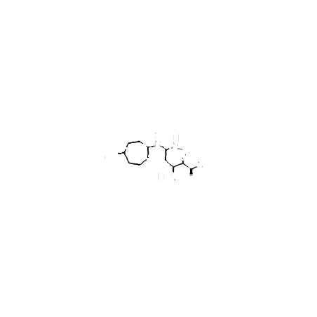 CC1CCCC(NC2CC(N)C(C(N)=O)NN2)CC1